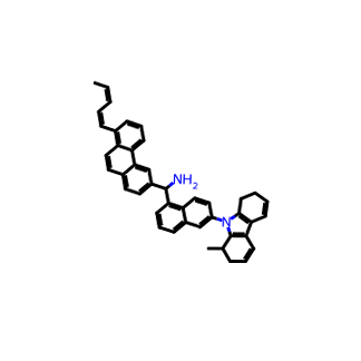 C/C=C\C=C/c1cccc2c1ccc1ccc(C(N)c3cccc4cc(-n5c6c(c7c5C(C)CC=C7)C=CCC6)ccc34)cc12